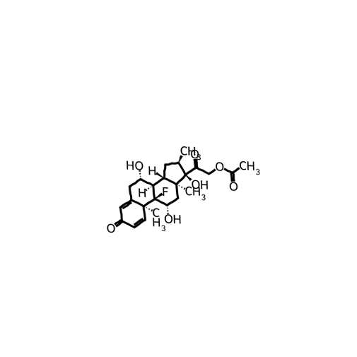 CC(=O)OCC(=O)[C@@]1(O)[C@H](C)C[C@H]2[C@@H]3[C@@H](O)CC4=CC(=O)C=C[C@]4(C)[C@@]3(F)[C@@H](O)C[C@@]21C